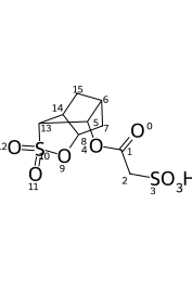 O=C(CS(=O)(=O)O)OC1C2CC3OS(=O)(=O)C1C3C2